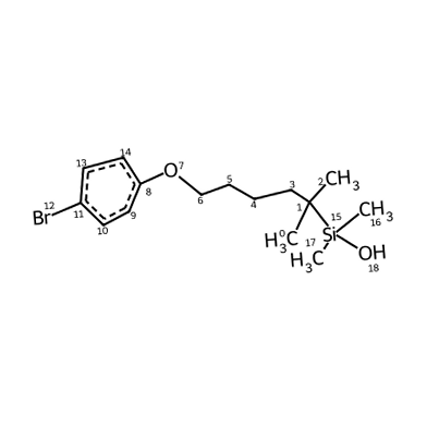 CC(C)(CCCCOc1ccc(Br)cc1)[Si](C)(C)O